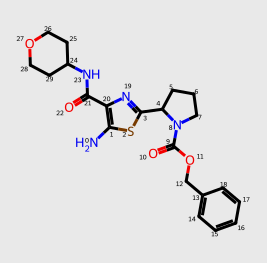 Nc1sc(C2CCCN2C(=O)OCc2ccccc2)nc1C(=O)NC1CCOCC1